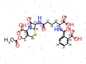 CC(=O)OCC1=C(C(=O)O)N2C(=O)C(NC(=O)CCCC(NC(=O)c3ccccc3C(=O)O)C(=O)O)C2SC1